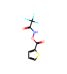 O=C(ONC(=O)C(F)(F)F)c1cccs1